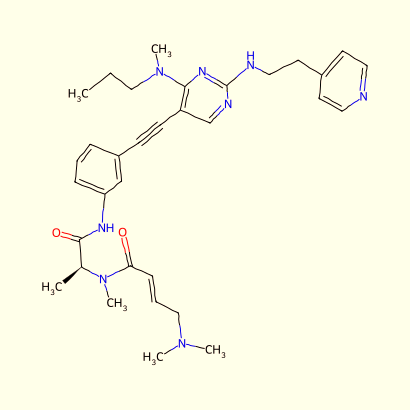 CCCN(C)c1nc(NCCc2ccncc2)ncc1C#Cc1cccc(NC(=O)[C@H](C)N(C)C(=O)/C=C/CN(C)C)c1